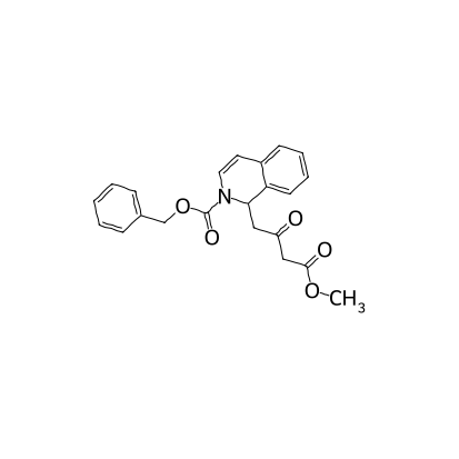 COC(=O)CC(=O)CC1c2ccccc2C=CN1C(=O)OCc1ccccc1